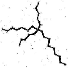 CCCCCCCCCC(CCCCC)(CCCCC)CCCCCCC